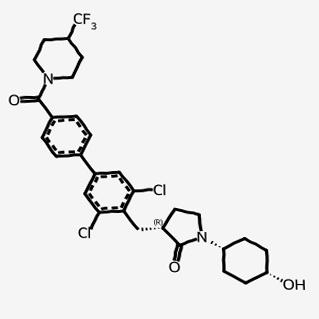 O=C(c1ccc(-c2cc(Cl)c(C[C@@H]3CCN([C@H]4CC[C@@H](O)CC4)C3=O)c(Cl)c2)cc1)N1CCC(C(F)(F)F)CC1